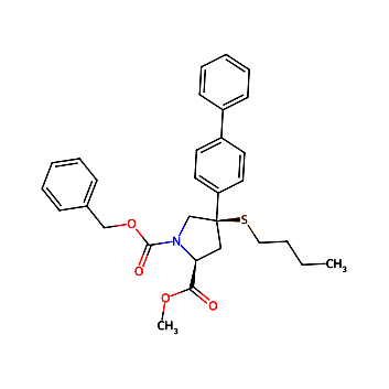 CCCCS[C@@]1(c2ccc(-c3ccccc3)cc2)C[C@@H](C(=O)OC)N(C(=O)OCc2ccccc2)C1